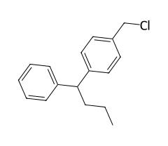 CCCC(c1ccccc1)c1ccc(CCl)cc1